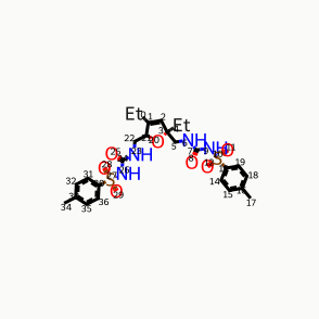 CCC1=CC(CC)(CNC(=O)NS(=O)(=O)c2ccc(C)cc2)OC1CNC(=O)NS(=O)(=O)c1ccc(C)cc1